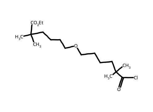 CCOC(=O)C(C)(C)CCCCOCCCCC(C)(C)C(=O)Cl